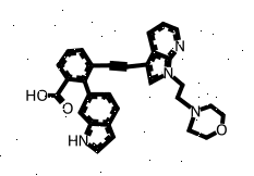 O=C(O)c1cccc(C#Cc2cn(CCN3CCOCC3)c3ncccc23)c1-c1ccc2cc[nH]c2c1